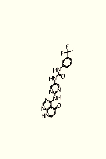 O=C(Nc1cnc(Nc2ncnc3[nH]ccc(=O)c23)nc1)Nc1cccc(C(F)(F)F)c1